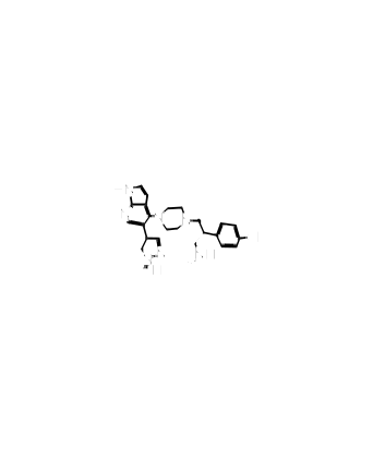 CC(C)NC[C@@H](C(=O)N1CCN(c2c(C3C=NN(C)C3)cnc3[nH]ccc23)CC1)c1ccc(Cl)cc1